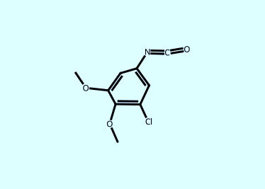 COc1cc(N=C=O)cc(Cl)c1OC